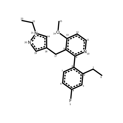 CCc1cc(F)ccc1-c1nccc(OC)c1Cc1cnn(CC)c1